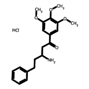 COc1cc(C(=O)CC(N)CCc2ccccc2)cc(OC)c1OC.Cl